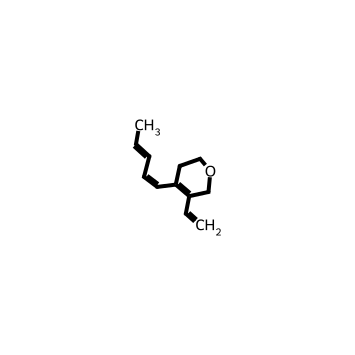 C=CC1=C(/C=C\C=C\C)CCOC1